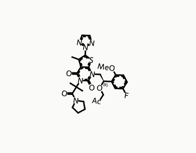 COc1ccc(F)cc1[C@H](Cn1c(=O)n(C(C)(C)C(=O)N2CCCC2)c(=O)c2c(C)c(-n3nccn3)sc21)OCC(C)=O